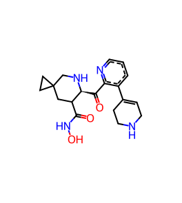 O=C(NO)C1CC2(CC2)CN[C@H]1C(=O)c1ncccc1C1=CCNCC1